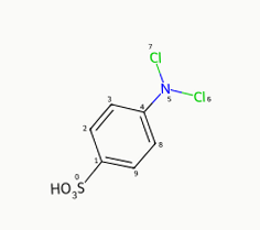 O=S(=O)(O)c1ccc(N(Cl)Cl)cc1